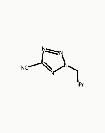 CC(C)Cn1nnc(C#N)n1